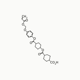 C=CC(=O)OCOc1ccc(OC(=O)C2CCC(OC(=O)C3CCC(C(=O)O)CC3)CC2)cc1